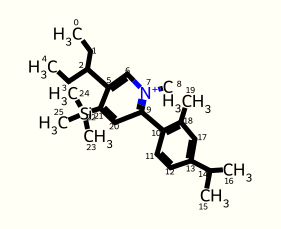 CCC(CC)c1c[n+](C)c(-c2ccc(C(C)C)cc2C)cc1[Si](C)(C)C